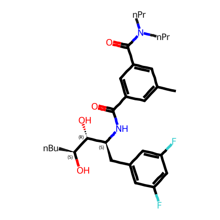 CCCC[C@H](O)[C@H](O)[C@H](Cc1cc(F)cc(F)c1)NC(=O)c1cc(C)cc(C(=O)N(CCC)CCC)c1